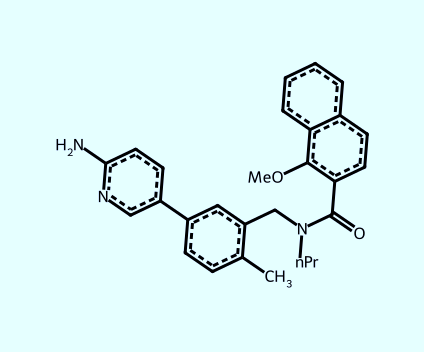 CCCN(Cc1cc(-c2ccc(N)nc2)ccc1C)C(=O)c1ccc2ccccc2c1OC